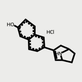 Cl.Oc1ccc2cc(C3=CC4CCC(C3)N4)ccc2c1